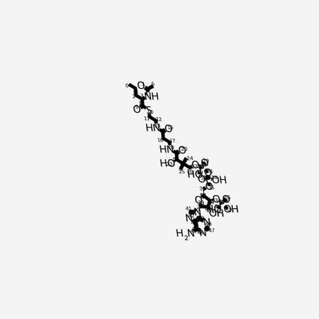 CCCC(NC(C)=O)C(=O)SCCNC(=O)CCNC(=O)[C@H](O)C(C)(C)COP(=O)(O)OP(=O)(O)OC[C@H]1O[C@@H](n2cnc3c(N)ncnc32)[C@H](O)[C@@H]1OP(=O)(O)O